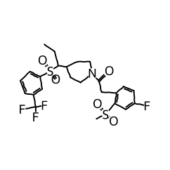 CCC(C1CCN(C(=O)Cc2ccc(F)cc2S(C)(=O)=O)CC1)S(=O)(=O)c1cccc(C(F)(F)F)c1